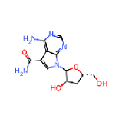 NC(=O)c1cn(C2O[C@H](CO)C[C@H]2O)c2ncnc(N)c12